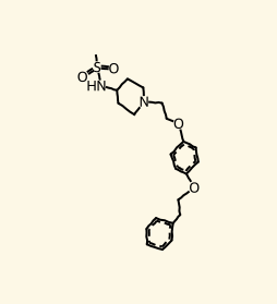 CS(=O)(=O)NC1CCN(CCOc2ccc(OCCc3ccccc3)cc2)CC1